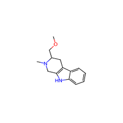 COCC1Cc2c([nH]c3ccccc23)CN1C